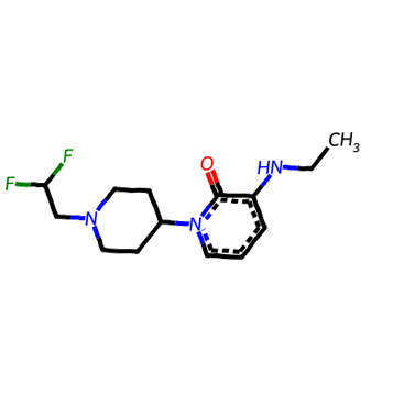 CCNc1cccn(C2CCN(CC(F)F)CC2)c1=O